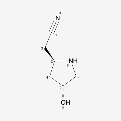 N#CC[C@@H]1C[C@@H](O)CN1